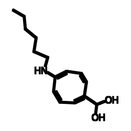 CCCCCCNC1=C/C=C\C(C(O)O)=C/C=C\1